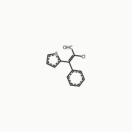 O=CC(Cl)=C(c1ccccc1)c1cccs1